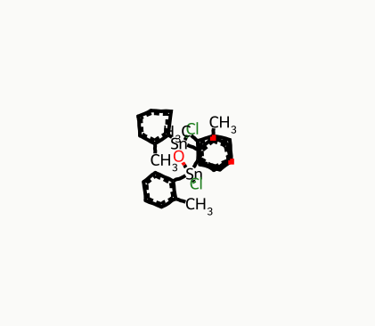 Cc1cccc[c]1[Sn]([Cl])([O][Sn]([Cl])([c]1ccccc1C)[c]1ccccc1C)[c]1ccccc1C